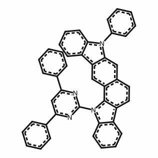 c1ccc(-c2cc(-c3ccccc3)nc(-n3c4ccccc4c4ccc5cc6c(cc5c43)c3ccccc3n6-c3ccccc3)n2)cc1